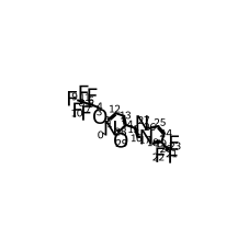 Cn1c(OCC(F)(F)C(F)(F)F)ccc(-c2cn3cc(C(F)(F)F)ccc3n2)c1=O